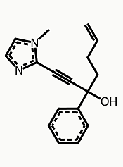 C=CCCC(O)(C#Cc1nccn1C)c1ccccc1